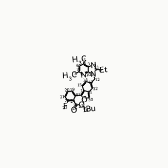 CCc1nc2c(C)cc(C)nc2n1Cc1ccc2c(-c3cccc(F)c3C(=O)OC(C)(C)C)occ2c1